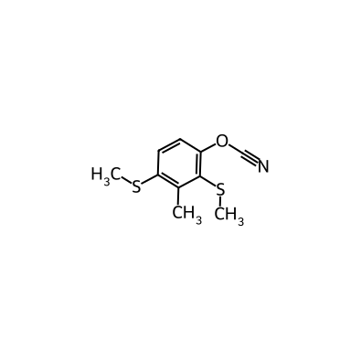 CSc1ccc(OC#N)c(SC)c1C